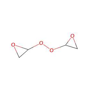 C1OC1OOC1CO1